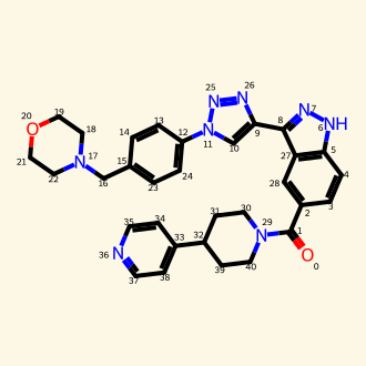 O=C(c1ccc2[nH]nc(-c3cn(-c4ccc(CN5CCOCC5)cc4)nn3)c2c1)N1CCC(c2ccncc2)CC1